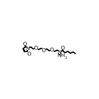 CCCCCC(=O)N(N)CCOCCOCCOCCN1C(=O)C=CC1=O